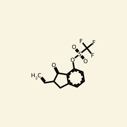 C=CC1Cc2cccc(OS(=O)(=O)C(F)(F)F)c2C1=O